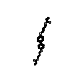 C=CC(=O)OC/C=C/Oc1ccc(-c2ccc(OCCCOC(=O)C=C)cc2)cc1